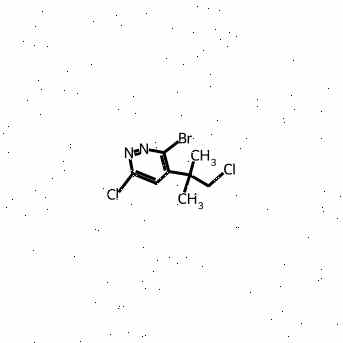 CC(C)(CCl)c1cc(Cl)nnc1Br